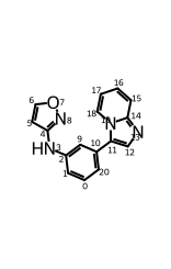 c1cc(Nc2ccon2)cc(-c2cnc3ccccn23)c1